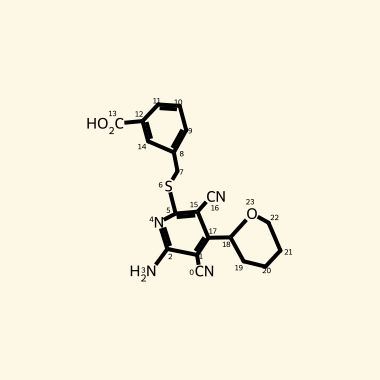 N#Cc1c(N)nc(SCc2cccc(C(=O)O)c2)c(C#N)c1C1CCCCO1